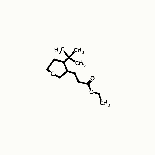 CCOC(=O)CCC1CCCCC1C(C)(C)C